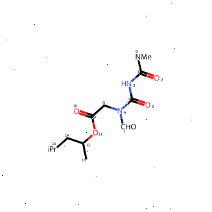 CNC(=O)NC(=O)N(C=O)CC(=O)OC(C)CC(C)C